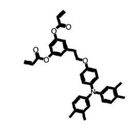 C=CC(=O)Oc1cc(CCOc2ccc(N(c3ccc(C)c(C)c3)c3ccc(C)c(C)c3)cc2)cc(OC(=O)C=C)c1